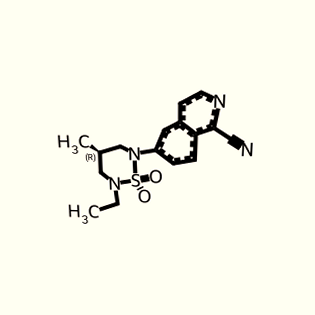 CCN1C[C@@H](C)CN(c2ccc3c(C#N)nccc3c2)S1(=O)=O